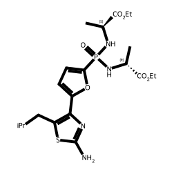 CCOC(=O)[C@H](C)NP(=O)(N[C@H](C)C(=O)OCC)c1ccc(-c2nc(N)sc2CC(C)C)o1